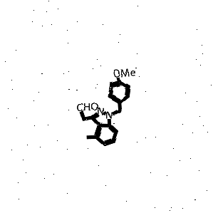 COc1ccc(Cn2nc(CC=O)c3c(C)cccc32)cc1